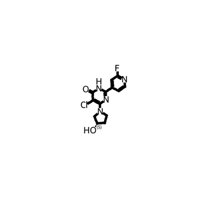 O=c1[nH]c(-c2ccnc(F)c2)nc(N2CC[C@H](O)C2)c1Cl